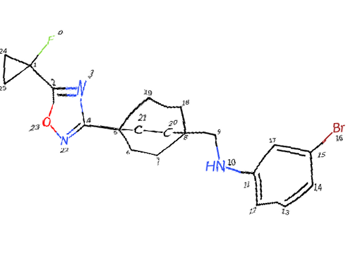 FC1(c2nc(C34CCC(CNc5cccc(Br)c5)(CC3)CC4)no2)CC1